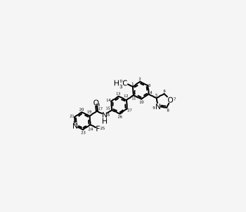 Cc1ccc(C2COC=N2)cc1-c1ccc(NC(=O)c2ccncc2F)cc1